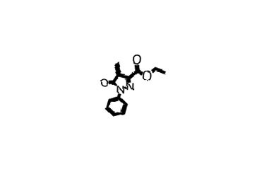 C=C1C(=O)N(c2ccccc2)N=C1C(=O)OCC